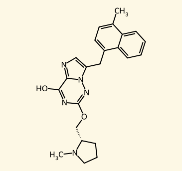 Cc1ccc(Cc2cnc3c(O)nc(OC[C@@H]4CCCN4C)nn23)c2ccccc12